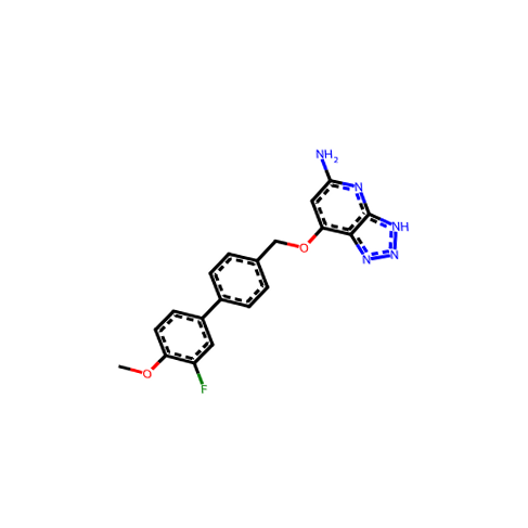 COc1ccc(-c2ccc(COc3cc(N)nc4[nH]nnc34)cc2)cc1F